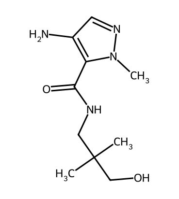 Cn1ncc(N)c1C(=O)NCC(C)(C)CO